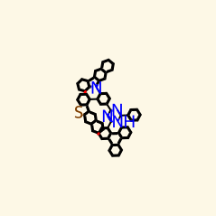 c1ccc(C2N=C(c3ccc(-n4c5ccccc5c5cc6ccccc6cc54)c(-c4cccc5sc6cc7ccccc7cc6c45)c3)N=C(c3cccc4c5ccccc5c5ccccc5c34)N2)cc1